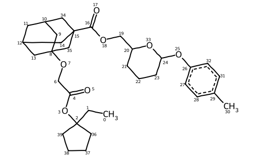 CCC1(OC(=O)COC23CC4CC(C2)CC(C(=O)OCC2CCCC(Oc5ccc(C)cc5)O2)(C4)C3)CCCC1